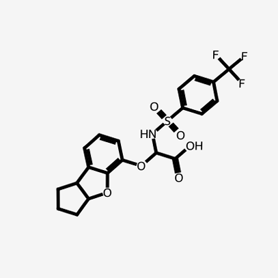 O=C(O)C(NS(=O)(=O)c1ccc(C(F)(F)F)cc1)Oc1cccc2c1OC1CCCC21